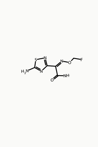 [NH]C(=O)C(=NOCF)c1nsc(N)n1